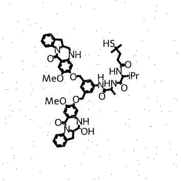 COc1cc2c(cc1OCc1cc(COc3cc4c(cc3OC)C(=O)N3c5ccccc5CC3[C@@H](O)N4)cc(NC(=O)C(C)NC(=O)C(NC(=O)CCC(C)(C)S)C(C)C)c1)NCC1Cc3ccccc3N1C2=O